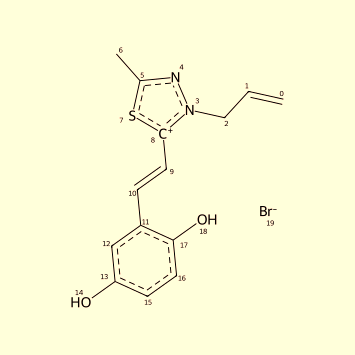 C=CCn1nc(C)s[c+]1C=Cc1cc(O)ccc1O.[Br-]